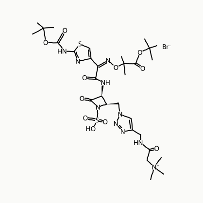 CC(C)(C)OC(=O)Nc1nc(/C(=N/OC(C)(C)C(=O)OC(C)(C)C)C(=O)N[C@@H]2C(=O)N(S(=O)(=O)O)[C@@H]2Cn2cc(CNC(=O)C[N+](C)(C)C)nn2)cs1.[Br-]